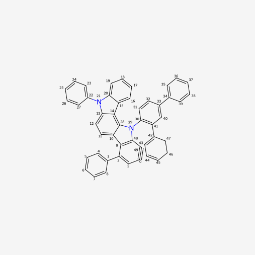 c1cc(-c2ccccc2)c2c3ccc4c(c5ccccc5n4-c4ccccc4)c3n(-c3ccc(-c4ccccc4)cc3C3=CC=CCC3)c2c#1